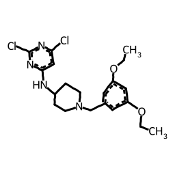 CCOc1cc(CN2CCC(Nc3cc(Cl)nc(Cl)n3)CC2)cc(OCC)c1